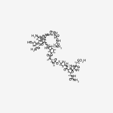 CC[C@H](C)[C@@H]1NC(=O)CNC(=O)[C@@H](N)Cc2c([nH]c3cc(OC(=O)N(C)CCN(C)C(=O)OCc4ccc(NC(=O)[C@H](CCCNC(N)=O)NC(=O)[C@@H](NC(=O)CCC(=O)O)C(C)C)cc4)ccc23)SC[C@@H](C(=O)N[C@@H](CC(N)=O)C(=O)N2C[C@H](O)C[C@H]2C(N)=O)NC(=O)CNC1=O